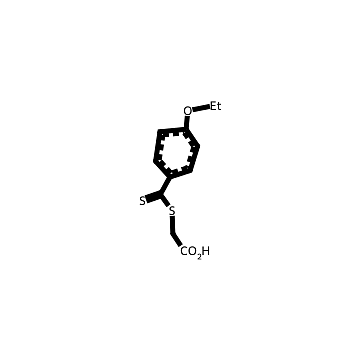 CCOc1ccc(C(=S)SCC(=O)O)cc1